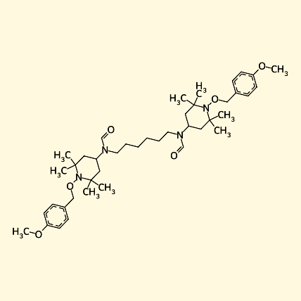 COc1ccc(CON2C(C)(C)CC(N(C=O)CCCCCCN(C=O)C3CC(C)(C)N(OCc4ccc(OC)cc4)C(C)(C)C3)CC2(C)C)cc1